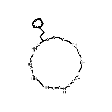 c1ccc(CCC2CNCCNCCNCCNCCNCCNCCNCCNCCCCSS2)cc1